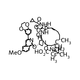 COc1ccc2c(O[C@@H]3C[C@H]4C(=O)N[C@]5(C(=O)NS(=O)(=O)C6CC6)C[C@H]5/C=C\CC[C@H](C)C[C@@H](C)[C@H](N(C(=O)O)C(C)(C)C(C)(F)F)C(=O)N4C3)nc(-c3ccc4c(c3)OCCO4)cc2c1